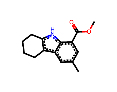 COC(=O)c1cc(C)cc2c3c([nH]c12)CCCC3